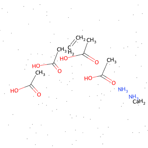 C=C.CC(=O)O.CC(=O)O.CC(=O)O.CC(=O)O.N.N.[CaH2]